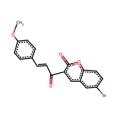 COc1ccc(/C=C/C(=O)c2cc3cc(Br)ccc3oc2=O)cc1